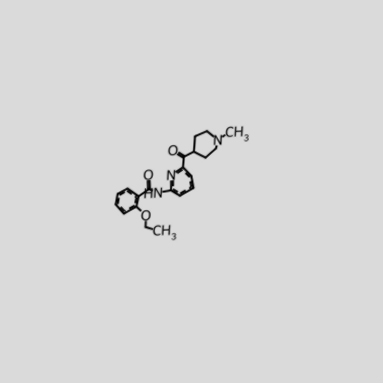 CCOc1ccccc1C(=O)Nc1cccc(C(=O)C2CCN(C)CC2)n1